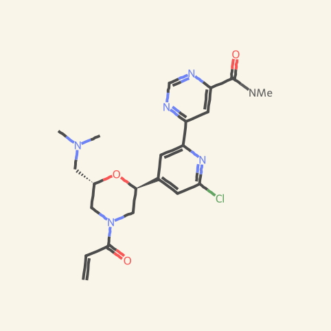 C=CC(=O)N1C[C@H](CN(C)C)O[C@@H](c2cc(Cl)nc(-c3cc(C(=O)NC)ncn3)c2)C1